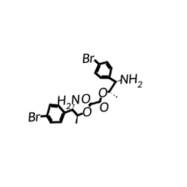 C[C@H](OC(=O)C(=O)O[C@@H](C)[C@@H](N)c1ccc(Br)cc1)[C@@H](N)c1ccc(Br)cc1